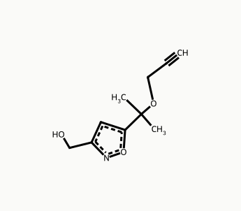 C#CCOC(C)(C)c1cc(CO)no1